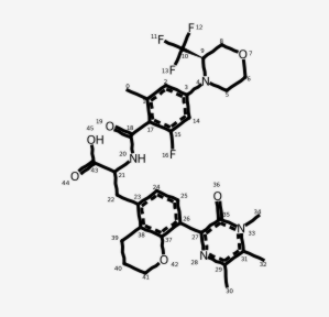 Cc1cc(N2CCOC[C@@H]2C(F)(F)F)cc(F)c1C(=O)NC(Cc1ccc(-c2nc(C)c(C)n(C)c2=O)c2c1CCCO2)C(=O)O